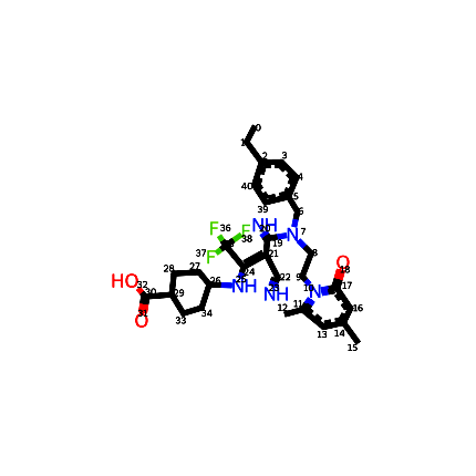 CCc1ccc(CN(CCn2c(C)cc(C)cc2=O)C(=N)/C(C=N)=C(/NC2CCC(C(=O)O)CC2)C(F)(F)F)cc1